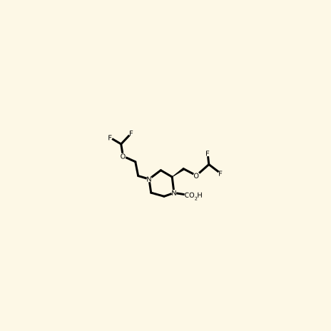 O=C(O)N1CCN(CCOC(F)F)C[C@H]1COC(F)F